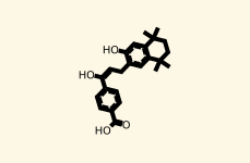 CC1(C)CCC(C)(C)c2cc(C/C=C(/O)c3ccc(C(=O)O)cc3)c(O)cc21